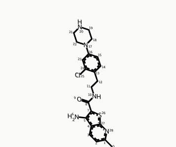 Cc1ccc2c(N)c(C(=O)NCCc3ccc(N4CCNCC4)cc3Cl)sc2n1